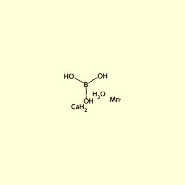 O.OB(O)O.[CaH2].[Mn]